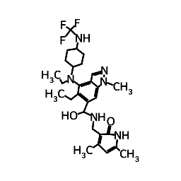 CCc1c(C(O)NCc2c(C)cc(C)[nH]c2=O)cc2c(cnn2C)c1N(CC)C1CCC(NC(F)(F)F)CC1